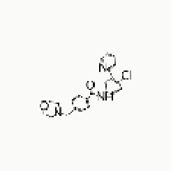 O=C(Nc1ccc(Cl)c(-c2ccccn2)c1)c1ccc(CN2CCOCC2)cc1